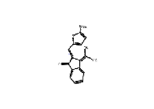 CNc1ccc(/C=C2/C(=O)c3ccccc3C2=C(C#N)C#N)s1